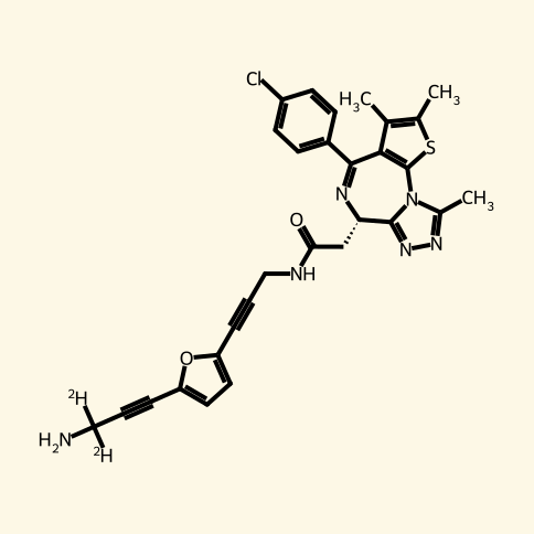 [2H]C([2H])(N)C#Cc1ccc(C#CCNC(=O)C[C@@H]2N=C(c3ccc(Cl)cc3)c3c(sc(C)c3C)-n3c(C)nnc32)o1